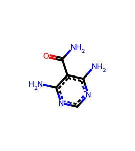 NC(=O)c1c(N)ncnc1N